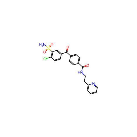 NS(=O)(=O)c1cc(C(=O)c2ccc(C(=O)NCCc3ccccn3)cc2)ccc1Cl